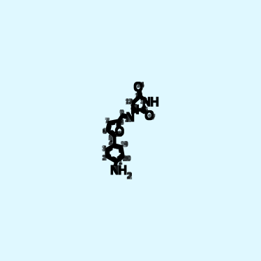 Nc1ccc(-c2ccc(C=NN3CC(=O)NC3=O)o2)cc1